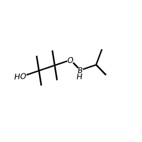 CC(C)BOC(C)(C)C(C)(C)O